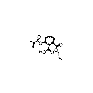 C=C(C)C(=O)Oc1cccc(C(=O)OCCC)c1C(=O)O